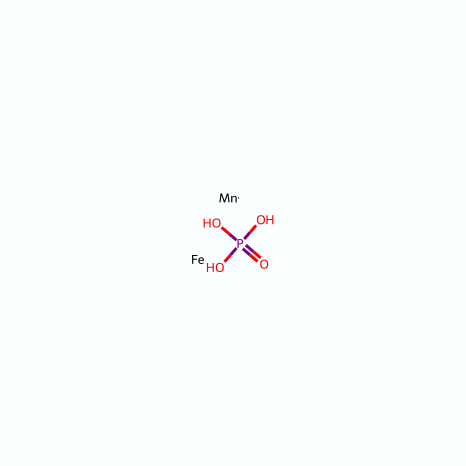 O=P(O)(O)O.[Fe].[Mn]